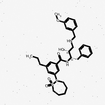 CCCc1cc(C(=O)N[C@@H](Cc2ccccc2)[C@H](O)CNCc2cccc(OC)c2)cc(N2CCCCCS2(=O)=O)c1